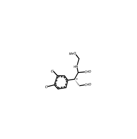 COCNC(C=O)[C@H](CC=O)c1ccc(Cl)c(Cl)c1